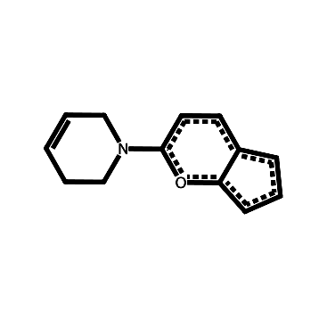 C1=CCN(c2ccc3cccc-3o2)CC1